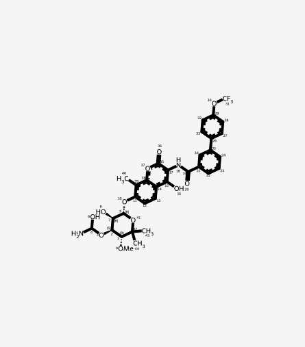 CO[C@@H]1[C@@H](OC(N)O)[C@@H](O)[C@H](Oc2ccc3c(O)c(NC(=O)c4cccc(-c5ccc(OC(F)(F)F)cc5)c4)c(=O)oc3c2C)OC1(C)C